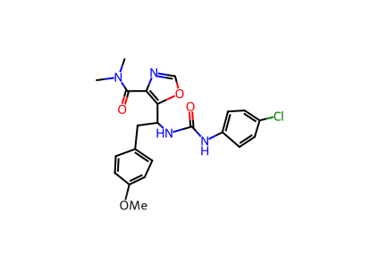 COc1ccc(CC(NC(=O)Nc2ccc(Cl)cc2)c2ocnc2C(=O)N(C)C)cc1